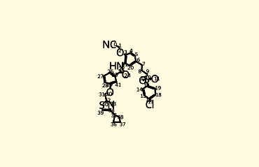 N#CCOc1ccc(CCCS(=O)(=O)c2ccc(Cl)cc2)cc1NC(=O)c1cccc(OCc2nc(C3CCC3)cs2)c1